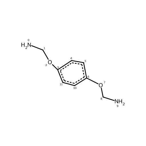 NCOc1ccc(OCN)cc1